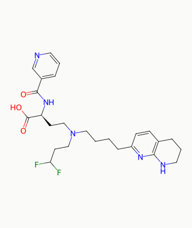 O=C(N[C@@H](CCN(CCCCc1ccc2c(n1)NCCC2)CCC(F)F)C(=O)O)c1cccnc1